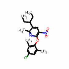 CCC(CC)c1[c]c([N+](=O)[O-])c(Oc2c(C)cc(Cl)cc2C)nc1C